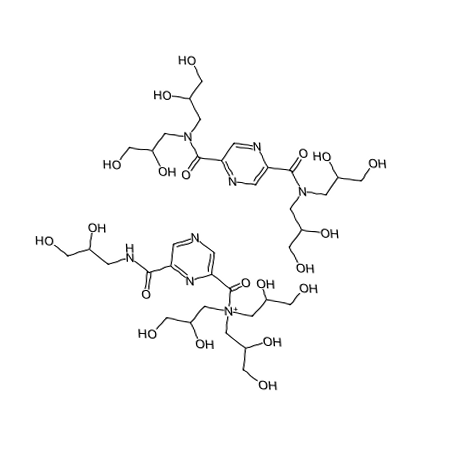 O=C(NCC(O)CO)c1cncc(C(=O)[N+](CC(O)CO)(CC(O)CO)CC(O)CO)n1.O=C(c1cnc(C(=O)N(CC(O)CO)CC(O)CO)cn1)N(CC(O)CO)CC(O)CO